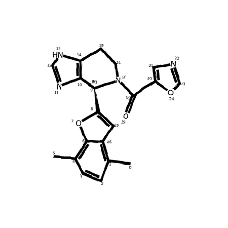 Cc1ccc(C)c2oc([C@H]3c4nc[nH]c4CCN3C(=O)c3cnco3)cc12